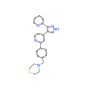 c1ccc(-c2n[nH]cc2-c2ccnc(-c3ccc(CN4CCSCC4)cc3)c2)nc1